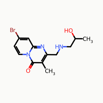 Cc1c(CNCC(C)O)nc2cc(Br)ccn2c1=O